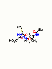 CC(C)CSC[C@H](NC(=O)CCC(=O)O)C(=O)NN(C)COC(C)(C)CCNC(=O)CC(C)(C)C